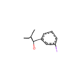 CC(C)C([O])c1cccc(I)c1